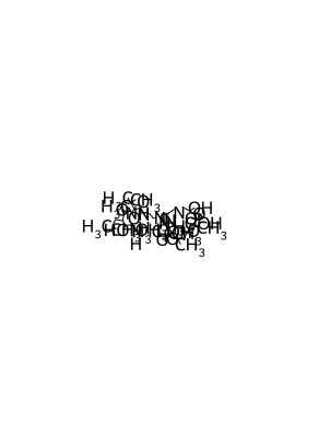 COP(=O)(O)OC(C)(C)CCOC(C)(C)P(=O)(O)OC(O)CNCc1cn(CCNC(=O)C(NC(=O)C(CC(C)C)C(O)C(=O)NO)C(C)(C)C)nn1